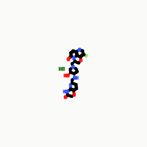 Cl.O=C1COc2ccc(CN[C@H]3CCN(C[C@@H]4COc5c(F)cnc6ccc(=O)n4c56)C[C@H]3O)nc2N1